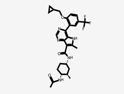 CC(=O)N[C@@H]1CC[C@H](NC(=O)c2c(C)[nH]c3c(-c4cc(C(F)(F)F)ccc4OCC4CC4)ncnc23)C[C@H]1C